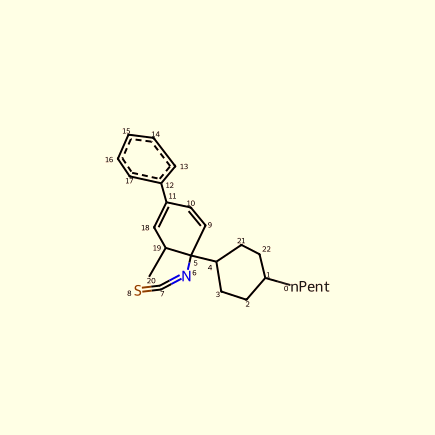 CCCCCC1CCC(C2(N=C=S)C=CC(c3ccccc3)=CC2C)CC1